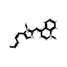 C/C=C\C=C/c1coc(/C=C2\C=CN(C)c3ccccc32)[n+]1C